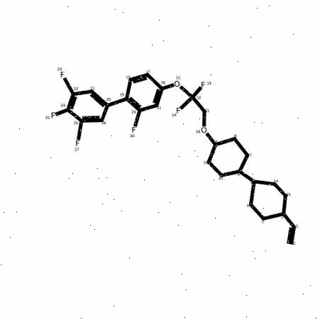 C=CC1CCC(C2CCC(OCC(F)(F)Oc3ccc(-c4cc(F)c(F)c(F)c4)c(F)c3)CC2)CC1